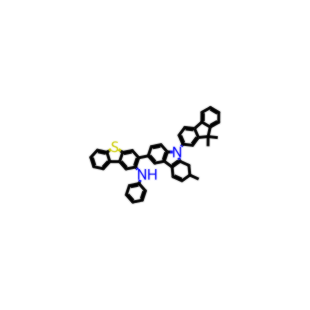 CC1C=Cc2c(n(-c3ccc4c(c3)C(C)(C)c3ccccc3-4)c3ccc(-c4cc5sc6ccccc6c5cc4Nc4ccccc4)cc23)C1